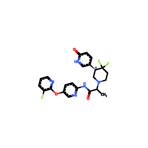 CC(C(=O)Nc1ccc(Oc2ncccc2F)cn1)N1CCC(F)(F)[C@@H](c2ccc(=O)[nH]c2)C1